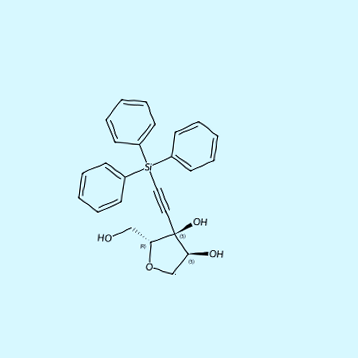 OC[C@H]1O[CH][C@H](O)[C@@]1(O)C#C[Si](c1ccccc1)(c1ccccc1)c1ccccc1